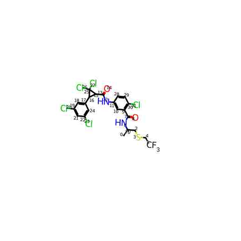 C[C@H](CSCC(F)(F)F)NC(=O)c1cc(NC(=O)C2C(c3cc(Cl)cc(Cl)c3)C2(Cl)Cl)ccc1Cl